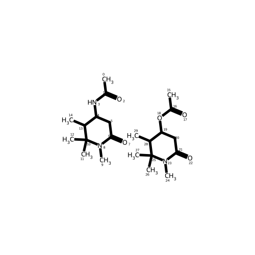 CC(=O)NC1CC(=O)N(C)C(C)(C)C1C.CC(=O)OC1CC(=O)N(C)C(C)(C)C1C